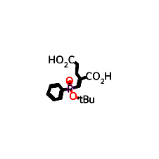 CC(C)(C)OP(=O)(C=C(CCC(=O)O)C(=O)O)c1ccccc1